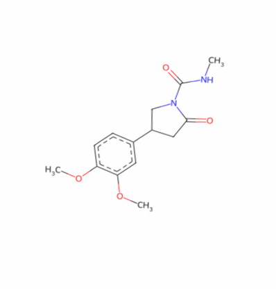 CNC(=O)N1CC(c2ccc(OC)c(OC)c2)CC1=O